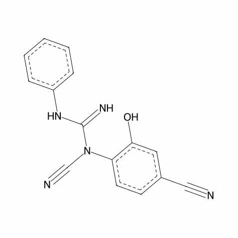 N#Cc1ccc(N(C#N)C(=N)Nc2ccccc2)c(O)c1